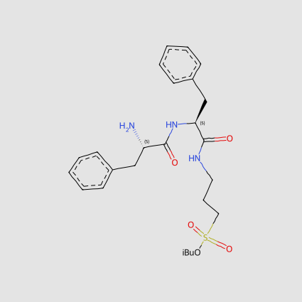 CC(C)COS(=O)(=O)CCCNC(=O)[C@H](Cc1ccccc1)NC(=O)[C@@H](N)Cc1ccccc1